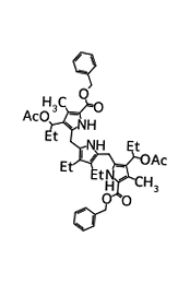 CCc1c(Cc2[nH]c(C(=O)OCc3ccccc3)c(C)c2C(CC)OC(C)=O)[nH]c(Cc2[nH]c(C(=O)OCc3ccccc3)c(C)c2C(CC)OC(C)=O)c1CC